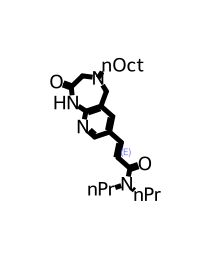 CCCCCCCCN1CC(=O)Nc2ncc(/C=C/C(=O)N(CCC)CCC)cc2C1